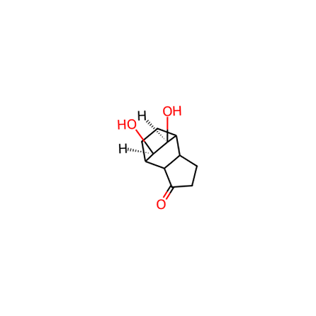 O=C1CCC2C1C1CCC2[C@H](O)[C@@H]1O